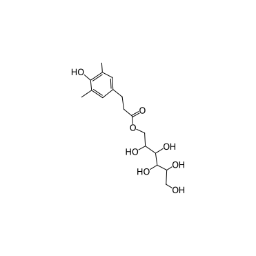 Cc1cc(CCC(=O)OCC(O)C(O)C(O)C(O)CO)cc(C)c1O